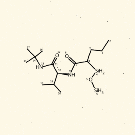 CCCC([SiH2]O[SiH3])C(=O)N[C@H](C(=O)NC(C)(C)C)C(C)C